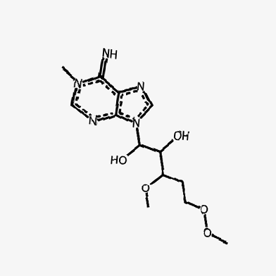 COOCCC(OC)C(O)C(O)n1cnc2c(=N)n(C)cnc21